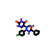 O=C(NN(c1ccc(F)cc1)N(c1c[nH]c(=O)[nH]c1=O)S(=O)(=O)O)c1ccccc1